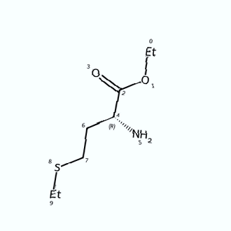 CCOC(=O)[C@H](N)CCSCC